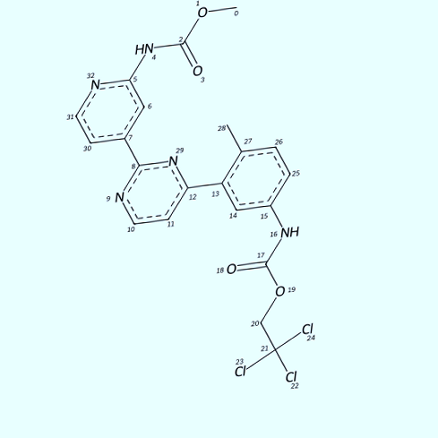 COC(=O)Nc1cc(-c2nccc(-c3cc(NC(=O)OCC(Cl)(Cl)Cl)ccc3C)n2)ccn1